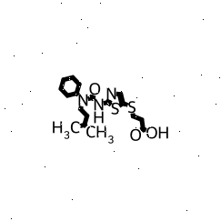 CC(C)CCN(C(=O)Nc1ncc(SCCC(=O)O)s1)C1CCCCC1